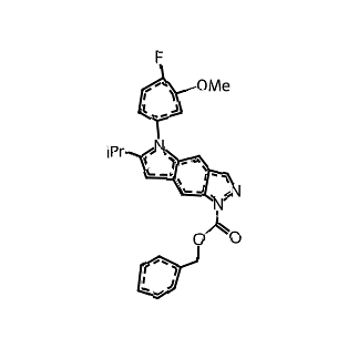 COc1cc(-n2c(C(C)C)cc3cc4c(cnn4C(=O)OCc4ccccc4)cc32)ccc1F